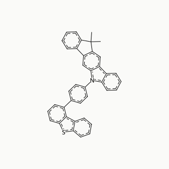 CC1(C)c2ccccc2-c2cc3c(cc21)c1ccccc1n3-c1ccc(-c2cccc3sc4ccccc4c23)cc1